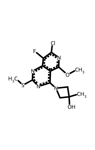 COc1nc(Cl)c(F)c2nc(SC)nc(N3CC(C)(O)C3)c12